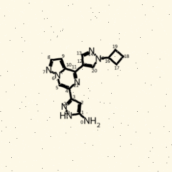 Nc1cc(-c2cn3nccc3c(-c3cnn(C4CCC4)c3)n2)n[nH]1